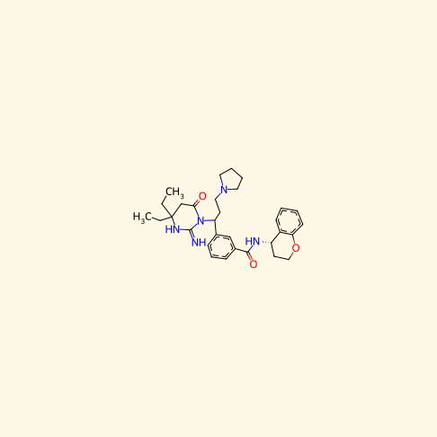 CCC1(CC)CC(=O)N(C(CCN2CCCC2)c2cccc(C(=O)N[C@H]3CCOc4ccccc43)c2)C(=N)N1